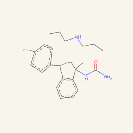 CC1(NC(N)=O)CC(c2ccc(F)cc2)c2ccccc21.CCCNCCC